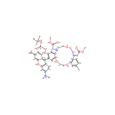 COC(=O)CN1CCOCCN(CC(=O)OC)c2cc(OCC(=O)OC(C)(C)C)c(-c3c4ccc(=P)cc-4oc4cc(N(C)C)ccc34)cc2OCCOc2cc(C)ccc21